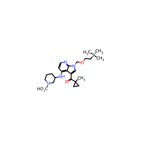 CC1(C(=O)c2cn(COCC[Si](C)(C)C)c3nccc(NC4CCCN(C(=O)O)C4)c23)CC1